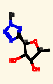 CCn1nnc([C@H]2O[C@@H](C)C(O)C2O)n1